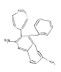 Cc1ccc2nc(N)c(-c3ccccc3)c(-c3ccccc3)c2c1